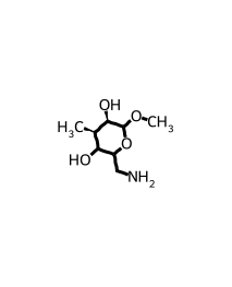 COC1OC(CN)C(O)[C@@H](C)[C@H]1O